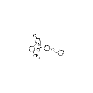 O=c1ccn(Cc2ccc(OCc3ccccc3)cc2)c(-c2cccc(C(F)(F)F)c2Cl)c1